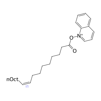 CCCCCCCC/C=C\CCCCCCCC(=O)O[n+]1cccc2ccccc21